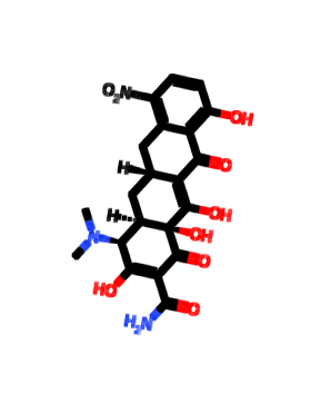 CN(C)[C@@H]1C(O)=C(C(N)=O)C(=O)[C@@]2(O)C(O)=C3C(=O)c4c(O)ccc([N+](=O)[O-])c4C[C@H]3C[C@H]12